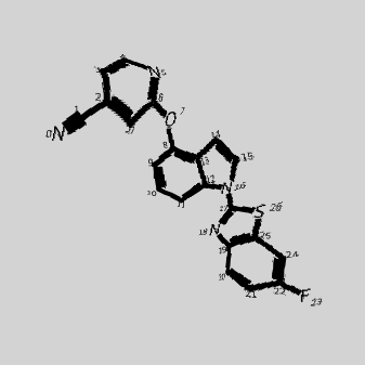 N#Cc1ccnc(Oc2cccc3c2ccn3-c2nc3ccc(F)cc3s2)c1